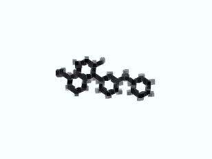 Cc1cnc2c(Cl)cccc2c1-c1cccc(Oc2c[c]ccc2)c1